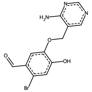 Nc1ncncc1COc1cc(C=O)c(Br)cc1O